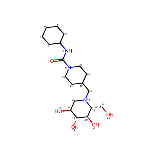 O=C(NC1CCCCC1)N1CCC(CN2C[C@H](O)[C@@H](O)[C@H](O)[C@H]2CO)CC1